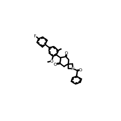 COc1cc(-c2ccc(F)cc2)cc(C)c1C1C(=O)CC2(CC1=O)CN(C(=O)c1ccccc1)C2